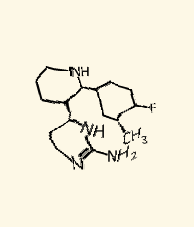 C[C@H]1CC(C2NCCCC2[C@@H]2CCN=C(N)N2)CCC1F